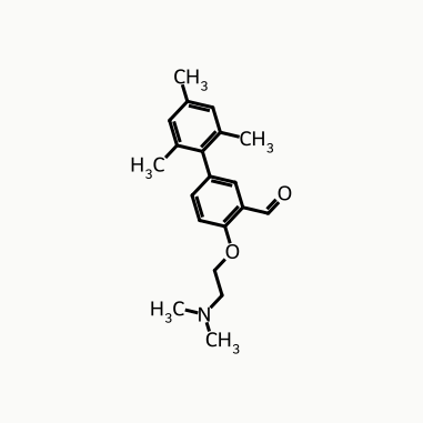 Cc1cc(C)c(-c2ccc(OCCN(C)C)c(C=O)c2)c(C)c1